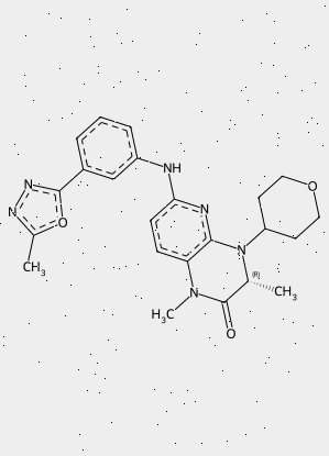 Cc1nnc(-c2cccc(Nc3ccc4c(n3)N(C3CCOCC3)[C@H](C)C(=O)N4C)c2)o1